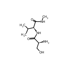 CNC(=O)[C@@H](NC(=O)[C@@H](N)CO)C(C)C